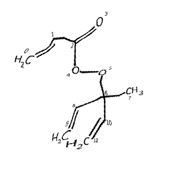 C=CC(=O)OOC(C)(C=C)C=C